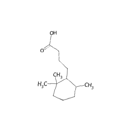 CC1CCCC(C)(C)C1CCCC(=O)O